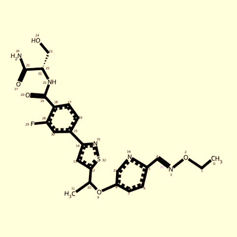 CCO/N=C/c1ccc(OC(C)c2cc(-c3ccc(C(=O)N[C@@H](CO)C(N)=O)c(F)c3)ns2)cn1